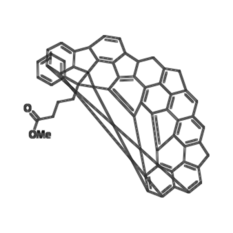 COC(=O)CCCC1(c2ccccc2)C23c4c5c6c7c8c9c%10cc%11cc%12c%13c%14c(cc%15c%16c(c2c2c4c7c4c9c%11c%13c4c2c%16%14)C2C%15=CC=C4C7C=CC(C5=C7C13C42)C6CC=8C%10)C%12